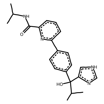 CC(C)NC(=O)c1cccc(-c2ccc(C(O)(c3c[nH]cn3)C(C)C)cc2)n1